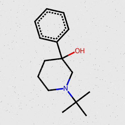 CC(C)(C)N1CCCC(O)(c2ccccc2)C1